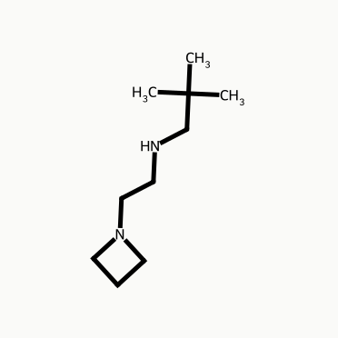 CC(C)(C)CNCCN1CCC1